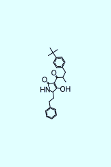 CC(Cc1ccc(C(C)(C)C)cc1)C(=O)C1=C(O)C(CCc2ccccc2)NC1=O